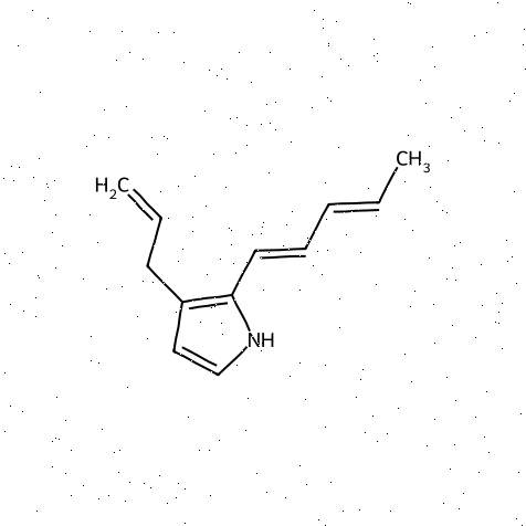 C=CCc1cc[nH]c1C=CC=CC